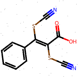 N#CSC(C(=O)O)=C(SC#N)c1ccccc1